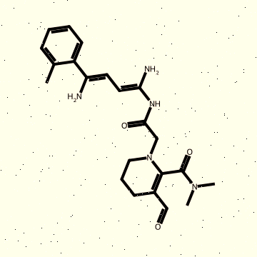 Cc1ccccc1/C(N)=C/C=C(\N)NC(=O)CN1CCCC(C=O)=C1C(=O)N(C)C